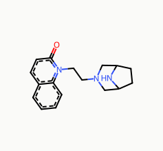 O=c1ccc2ccccc2n1CCN1CC2CCC(C1)N2